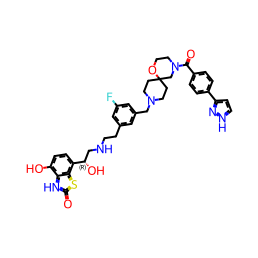 O=C(c1ccc(-c2cc[nH]n2)cc1)N1CCOC2(CCN(Cc3cc(F)cc(CCNC[C@H](O)c4ccc(O)c5[nH]c(=O)sc45)c3)CC2)C1